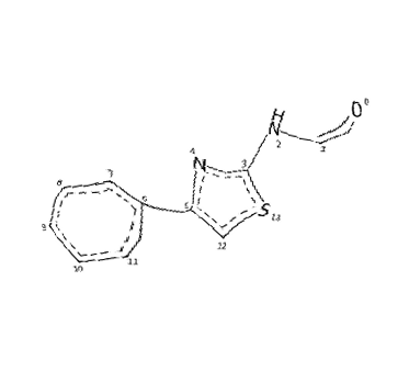 O=CNc1nc(-c2ccccc2)cs1